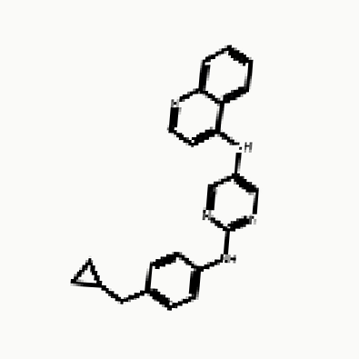 c1ccc2c(Nc3cnc(Nc4ccc(CC5CC5)cc4)nc3)ccnc2c1